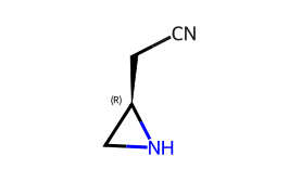 N#CC[C@@H]1CN1